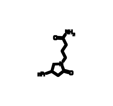 CCCC1CC(=O)N(CCCC(N)=O)C1